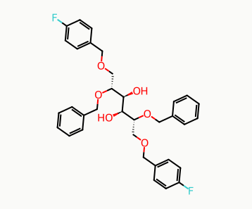 O[C@@H]([C@H](O)[C@@H](COCc1ccc(F)cc1)OCc1ccccc1)[C@@H](COCc1ccc(F)cc1)OCc1ccccc1